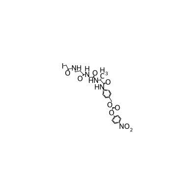 C[C@H](NC(=O)CNC(=O)CCNC(=O)CI)C(=O)Nc1ccc(COC(=O)Oc2ccc([N+](=O)[O-])cc2)cc1